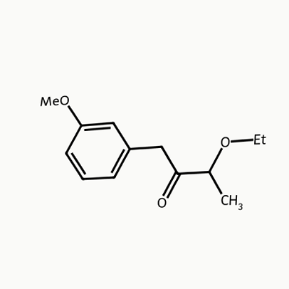 CCOC(C)C(=O)Cc1cccc(OC)c1